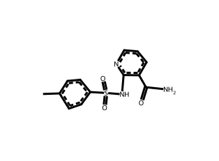 Cc1ccc(S(=O)(=O)Nc2ncccc2C(N)=O)cc1